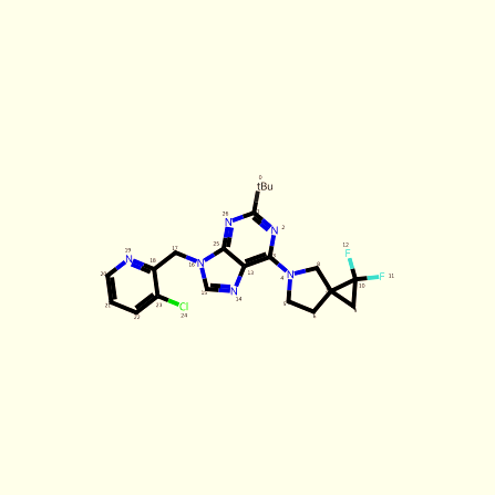 CC(C)(C)c1nc(N2CCC3(C2)CC3(F)F)c2ncn(Cc3ncccc3Cl)c2n1